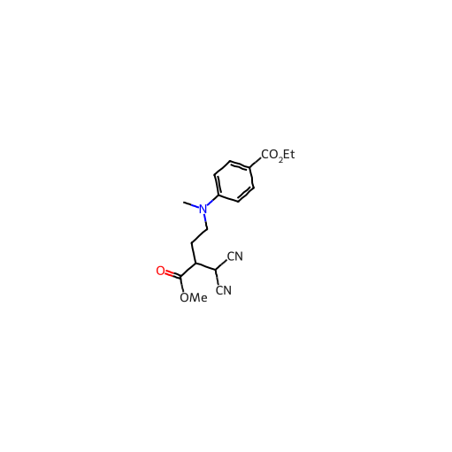 CCOC(=O)c1ccc(N(C)CCC(C(=O)OC)C(C#N)C#N)cc1